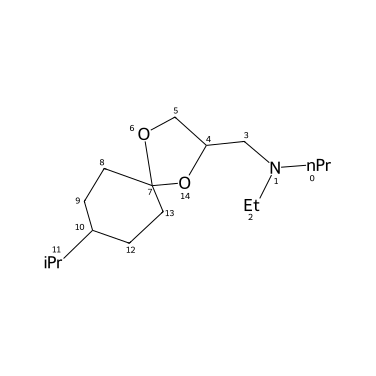 CCCN(CC)CC1COC2(CCC(C(C)C)CC2)O1